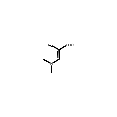 CC(=O)/C(C=O)=C\N(C)C